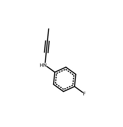 CC#CNc1ccc(F)cc1